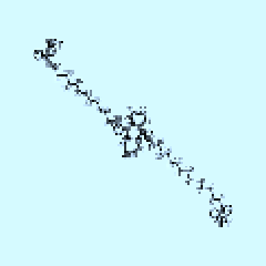 CC(C)OC(=O)CCCCCCCCCCCCCCOc1c2ccccc2c(OCCCCCCCCCCCCCCC(=O)OC(C)C)c2ccccc12